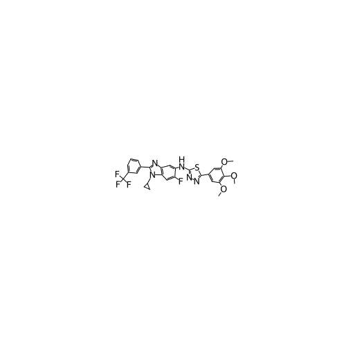 COc1cc(-c2nnc(Nc3cc4nc(-c5cccc(C(F)(F)F)c5)n(C5CC5)c4cc3F)s2)cc(OC)c1OC